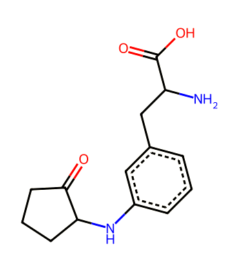 NC(Cc1cccc(NC2CCCC2=O)c1)C(=O)O